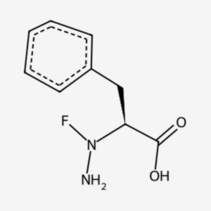 NN(F)[C@@H](Cc1ccccc1)C(=O)O